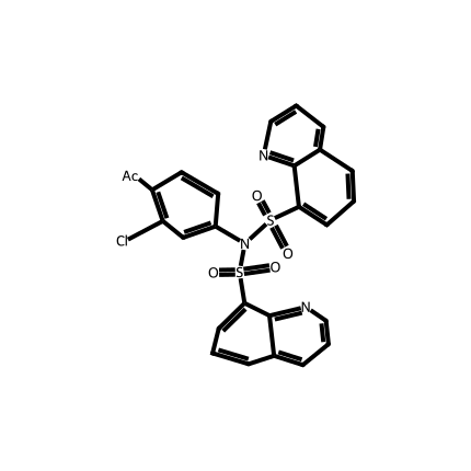 CC(=O)c1ccc(N(S(=O)(=O)c2cccc3cccnc23)S(=O)(=O)c2cccc3cccnc23)cc1Cl